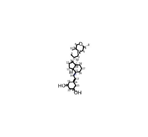 CC(CN1C[C@@H](C)OC[C@@H]1C)[C@H]1CC[C@H]2/C(=C/C=C3C[C@@H](O)C[C@H](O)C3)CCC[C@]12C